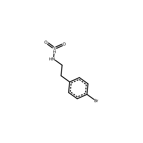 O=[SH](=O)NCCc1ccc(Br)cc1